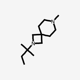 CCC(C)(C)N1CC2(CCN(C)CC2)C1